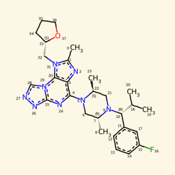 Cc1nc2c(N3C[C@@H](C)N([C@@H](c4cccc(F)c4)C(C)C)C[C@@H]3C)nc3nncn3c2n1C[C@@H]1CCCO1